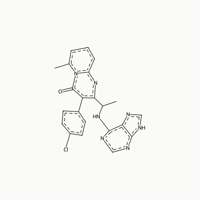 Cc1cccc2nc(C(C)Nc3ncnc4[nH]cnc34)c(-c3ccc(Cl)cc3)c(=O)n12